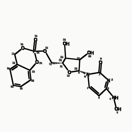 O=c1nc(NO)ccn1[C@@H]1O[C@H](COP2(=O)OCc3ccccc3O2)C(O)C1O